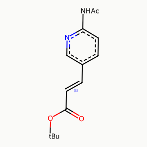 CC(=O)Nc1ccc(/C=C/C(=O)OC(C)(C)C)cn1